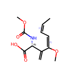 C=C(/C(=C\C=C/C)OC)[C@@H](NC(=O)OC)C(=O)O